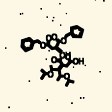 C=C(CC(=O)OCc1ccccc1)C(=O)OCc1ccccc1.CC(C)OC(C)C(=C(CC(=O)O)C(=O)O)C(C)OC(C)C